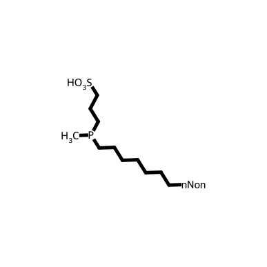 CCCCCCCCCCCCCCCCP(C)CCCS(=O)(=O)O